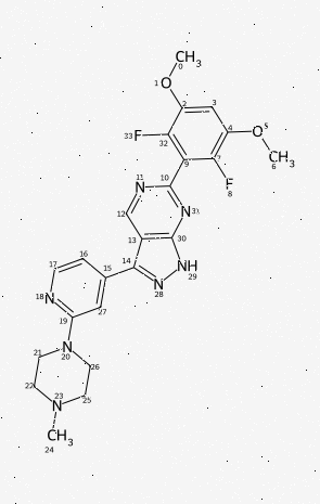 COc1cc(OC)c(F)c(-c2ncc3c(-c4ccnc(N5CCN(C)CC5)c4)n[nH]c3n2)c1F